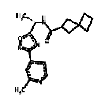 Cc1cc(-c2noc([C@H](C)NC(=O)C3CC4(CCC4)C3)n2)ccn1